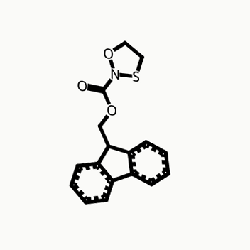 O=C(OCC1c2ccccc2-c2ccccc21)N1OCCS1